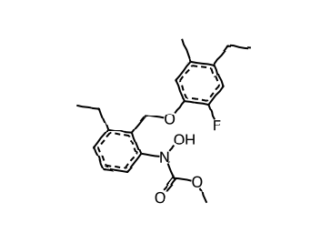 CCc1cc(F)c(OCc2c(CC)cccc2N(O)C(=O)OC)cc1C